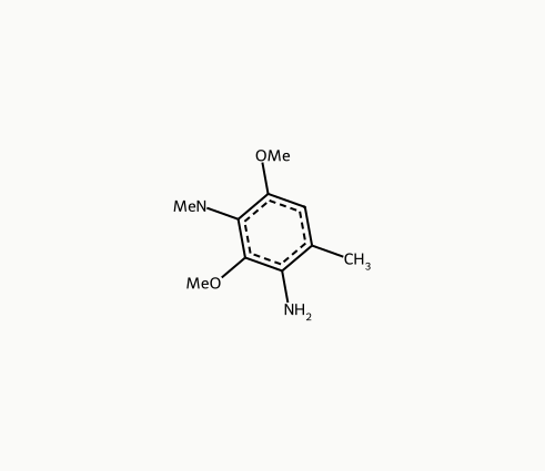 CNc1c(OC)cc(C)c(N)c1OC